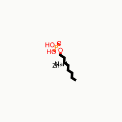 CCCCCCCCOP(=O)(O)O.[NaH].[Zn]